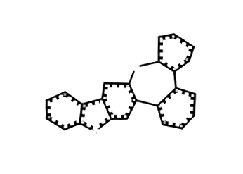 c1ccc2c(c1)Oc1cc3c(cc1-c1ccccc1-2)[nH]c1ccccc13